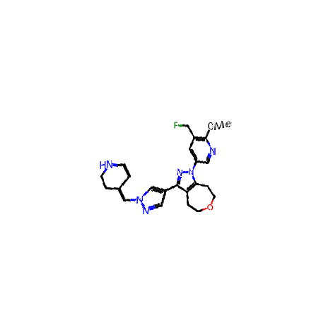 COc1ncc(-n2nc(-c3cnn(CC4CCNCC4)c3)c3c2CCOCC3)cc1CF